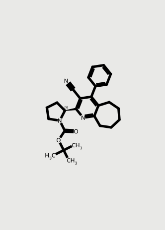 CC(C)(C)OC(=O)N1CCC[C@H]1c1nc2c(c(-c3ccccc3)c1C#N)CCCCC2